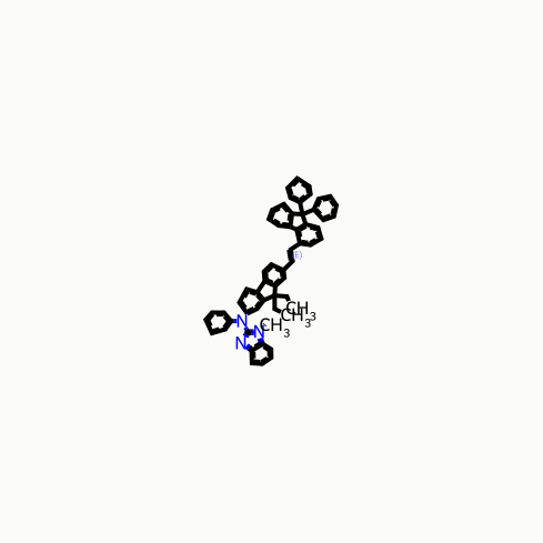 CCC1(CC)c2cc(/C=C/c3cccc4c3-c3ccccc3C4(c3ccccc3)c3ccccc3)ccc2-c2ccc(N(c3ccccc3)c3nc4ccccc4n3C)cc21